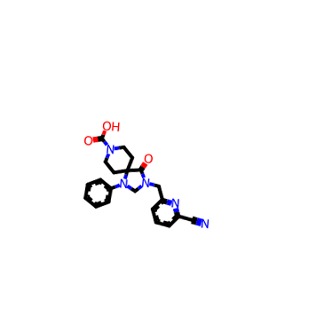 N#Cc1cccc(CN2CN(c3ccccc3)C3(CCN(C(=O)O)CC3)C2=O)n1